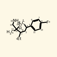 CCC(CC(C)c1ccc(F)cc1)C(C)(C)CN